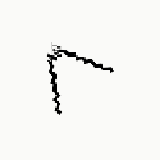 CCCCCCCCCCCC[Si](C)(C)N[Si](C)(C)CCCCCCCCCCCC